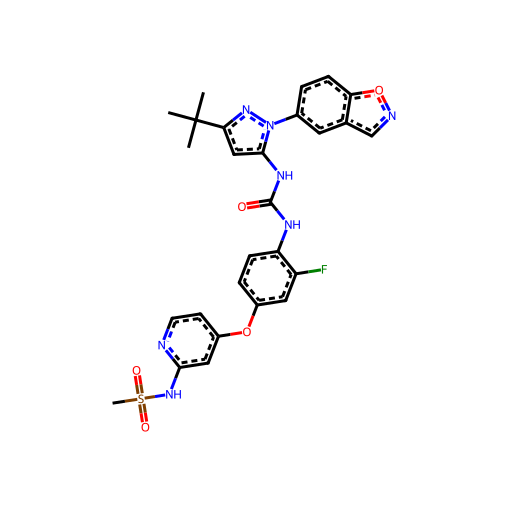 CC(C)(C)c1cc(NC(=O)Nc2ccc(Oc3ccnc(NS(C)(=O)=O)c3)cc2F)n(-c2ccc3oncc3c2)n1